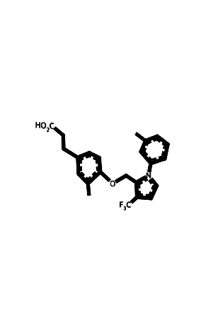 Cc1cccc(-n2ccc(C(F)(F)F)c2COc2ccc(CCC(=O)O)cc2C)c1